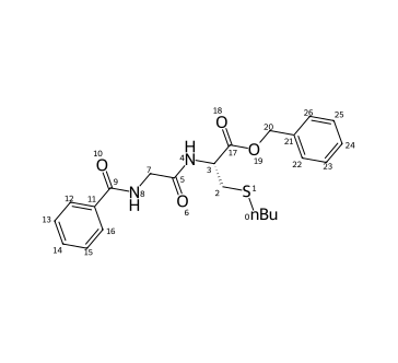 CCCCSC[C@H](NC(=O)CNC(=O)c1ccccc1)C(=O)OCc1ccccc1